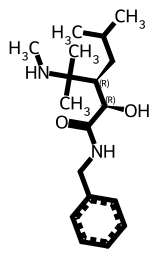 CNC(C)(C)[C@@H](CC(C)C)[C@@H](O)C(=O)NCc1ccccc1